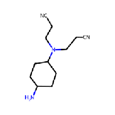 N#CCCN(CCC#N)C1CCC(N)CC1